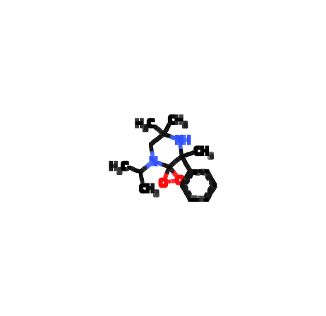 CC(C)N1CC(C)(C)NC(C)(c2ccccc2)C12OO2